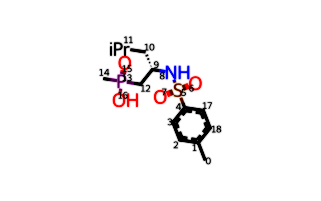 Cc1ccc(S(=O)(=O)N[C@@H](CC(C)C)CP(C)(=O)O)cc1